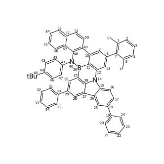 Cc1cccc(C)c1-c1cc2c3c(c1)-n1c4ccc(-c5ccccc5)cc4c4cc(-c5ccccc5)cc(c41)B3N(c1ccc(C(C)(C)C)cc1)c1c-2ccc2ccccc12